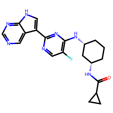 O=C(N[C@H]1CCC[C@@H](Nc2nc(-c3c[nH]c4ncncc34)ncc2F)C1)C1CC1